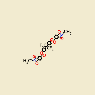 C=CCN1C(=O)c2ccc(C(=O)Oc3ccc(C(c4ccc(OC(=O)c5ccc6c(c5)C(=O)N(CC=C)C6=O)cc4)(C(F)(F)F)C(F)(F)F)cc3)cc2C1=O